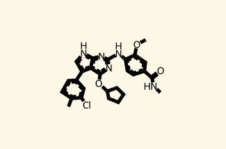 CNC(=O)c1ccc(Nc2nc(OC3CCCC3)c3c(-c4ccc(C)c(Cl)c4)c[nH]c3n2)c(OC)c1